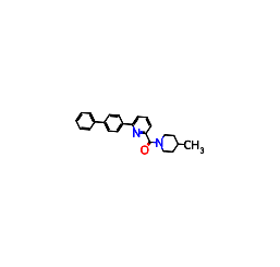 CC1CCN(C(=O)c2cccc(-c3ccc(-c4ccccc4)cc3)n2)CC1